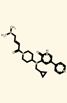 CN(C)C/C=C/C(=O)N1CCC(N(CC2CC2)c2cc(-c3ccncc3)c[nH]c2=O)CC1